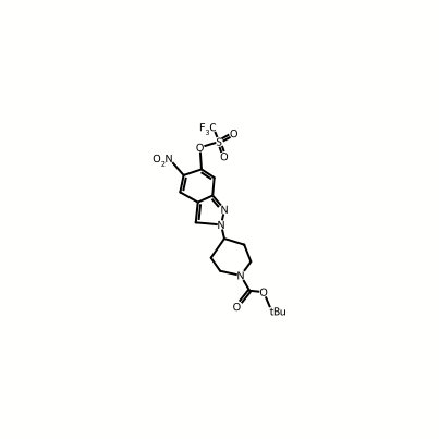 CC(C)(C)OC(=O)N1CCC(n2cc3cc([N+](=O)[O-])c(OS(=O)(=O)C(F)(F)F)cc3n2)CC1